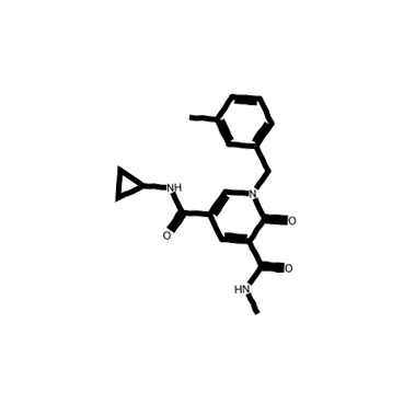 CNC(=O)c1cc(C(=O)NC2CC2)cn(Cc2cccc(C)c2)c1=O